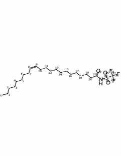 CCCCCCCC/C=C\CCCCCCCCCCCC(=O)NS(=O)(=O)C(F)(F)F